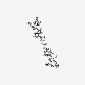 O=[PH](S)OC1[C@@H](F)[C@H](n2cnc3c(NC/C=C/CCNc4ncnc5c4ncn5[C@@H]4OC(CO)[C@@H](O[PH](=O)S)[C@H]4F)ncnc32)O[C@@H]1CO